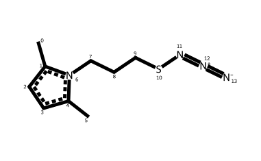 Cc1ccc(C)n1CCCSN=[N+]=[N-]